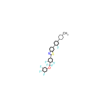 CC1CCC(c2ccc(-c3ccc4nc(-c5cc(F)c(C(F)(F)Oc6cc(F)c(F)c(F)c6)c(F)c5)sc4c3)c(F)c2)CC1